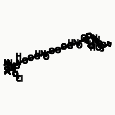 Cc1sc2c(c1C)C(c1ccc(Cl)cc1)=NC(CC(=O)NCCOCCOCCOCCNC(=O)CCOCCOCCOCCOCCNC(=O)CCC(=O)N1Cc3ccccc3-c3c(nnn3NOP(O)(=S)OCC3CCC3)-c3ccccc31)c1nnc(C)n1-2